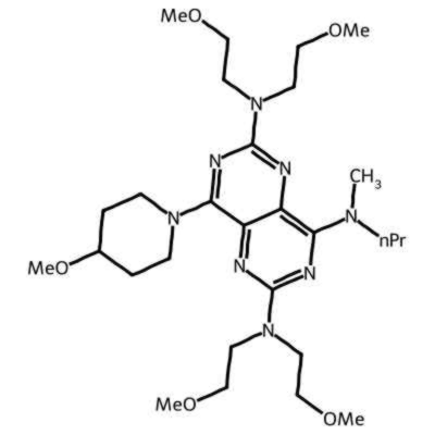 CCCN(C)c1nc(N(CCOC)CCOC)nc2c(N3CCC(OC)CC3)nc(N(CCOC)CCOC)nc12